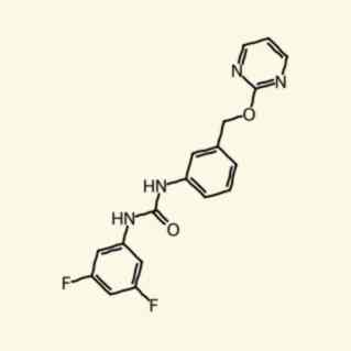 O=C(Nc1cc(F)cc(F)c1)Nc1cccc(COc2ncccn2)c1